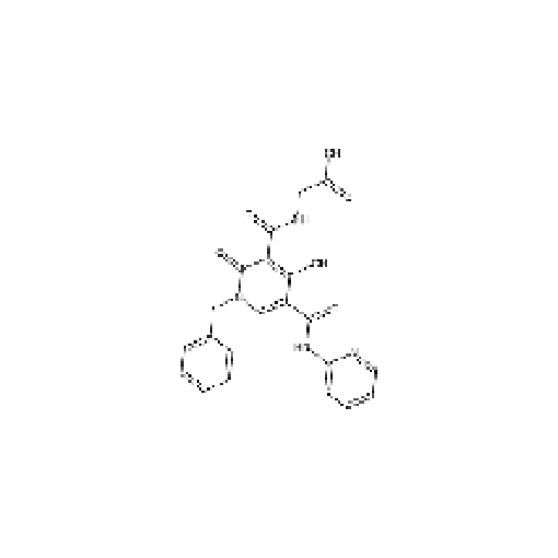 O=C(O)CNC(=O)c1c(O)c(C(=O)Nc2ccccn2)cn(Cc2ccccc2)c1=O